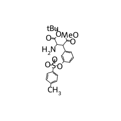 COC(=O)C(c1cccc(OS(=O)(=O)c2ccc(C)cc2)c1)C(N)C(=O)OC(C)(C)C